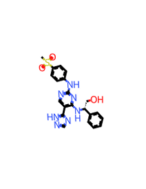 CS(=O)(=O)c1ccc(Nc2ncc(-c3ncn[nH]3)c(N[C@H](CO)c3ccccc3)n2)cc1